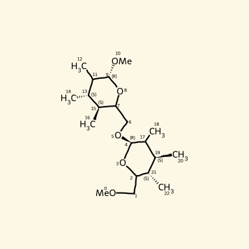 COCC1O[C@@H](OCC2O[C@@H](OC)C(C)[C@@H](C)[C@@H]2C)C(C)[C@@H](C)[C@@H]1C